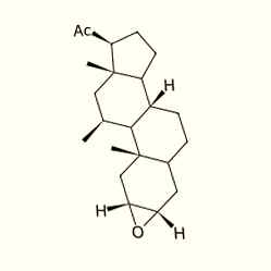 CC(=O)[C@H]1CCC2[C@@H]3CCC4C[C@@H]5O[C@@H]5C[C@]4(C)C3[C@@H](C)C[C@@]21C